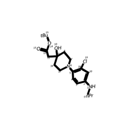 CCCNc1ccc(N2CCC(O)(CC(=O)OC(C)(C)C)CC2)c(Cl)c1